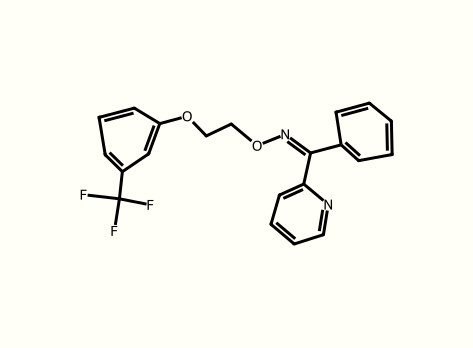 FC(F)(F)c1cccc(OCCON=C(c2ccccc2)c2ccccn2)c1